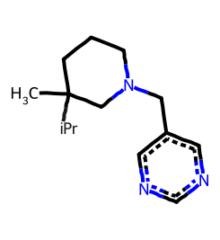 CC(C)C1(C)CCCN(Cc2cncnc2)C1